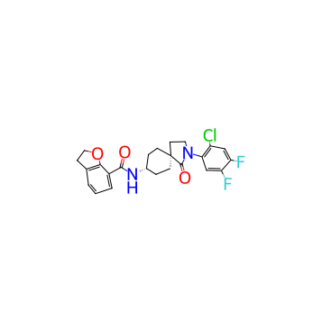 O=C(N[C@H]1CC[C@@]2(CCN(c3cc(F)c(F)cc3Cl)C2=O)CC1)c1cccc2c1OCC2